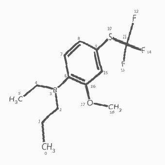 CCCB(CC)c1ccc(SC(F)(F)F)cc1OC